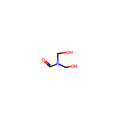 O=CN(CO)CO